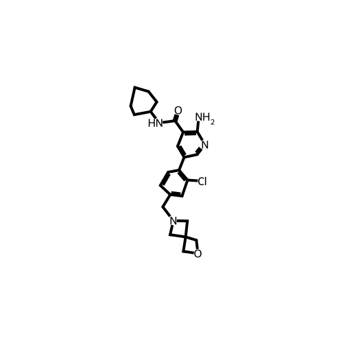 Nc1ncc(-c2ccc(CN3CC4(COC4)C3)cc2Cl)cc1C(=O)NC1CCCCC1